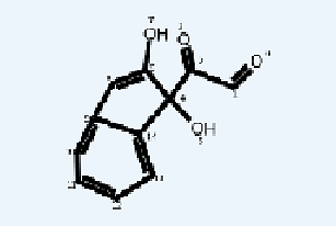 O=CC(=O)C1(O)C(O)=Cc2ccccc21